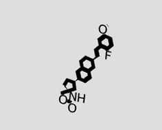 COc1ccc(F)c(/C=C/[C@@H]2CCc3cc([C@H]4CC[C@]5(COC(=O)N5)C4)ccc3C2)c1